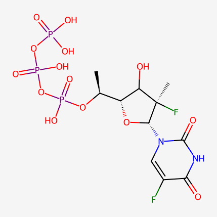 C[C@H](OP(=O)(O)OP(=O)(O)OP(=O)(O)O)[C@H]1O[C@@H](n2cc(F)c(=O)[nH]c2=O)[C@](C)(F)C1O